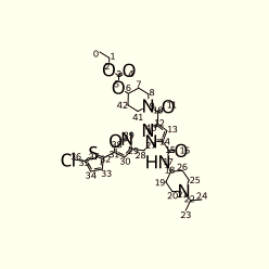 CCOC(=O)OC1CCN(C(=O)c2cc(C(=O)NC3CCN(C(C)C)CC3)n(Cc3cc(-c4ccc(Cl)s4)on3)n2)CC1